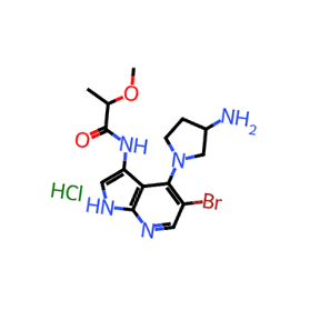 COC(C)C(=O)Nc1c[nH]c2ncc(Br)c(N3CCC(N)C3)c12.Cl